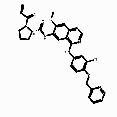 C=CC(=O)N1CCC[C@H]1C(=O)Nc1cc2c(Nc3ccc(OCc4ccccn4)c(Cl)c3)ncnc2cc1OC